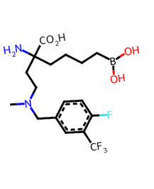 CN(CCC(N)(CCCCB(O)O)C(=O)O)Cc1ccc(F)c(C(F)(F)F)c1